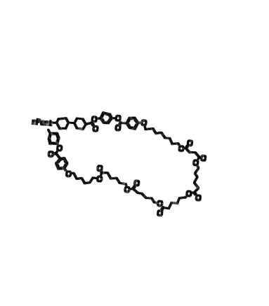 CCCCCC1CCC(C2CCC(C(=O)Oc3ccc(OC(=O)c4ccc(OCCCCCCCCOC(=O)CCC(=O)OCCCCCC(=O)OCCCCCC(=O)OCCCCCC(=O)OCCCCCC(=O)OCCCCCCOc5ccc(C(=O)Oc6ccc(C)cc6)cc5)cc4)cc3)CC2)CC1